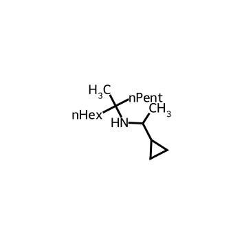 CCCCCCC(C)(CCCCC)NC(C)C1CC1